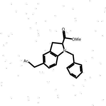 COC(=O)C1Cc2cc(CC(C)=O)ccc2N1Cc1ccccc1